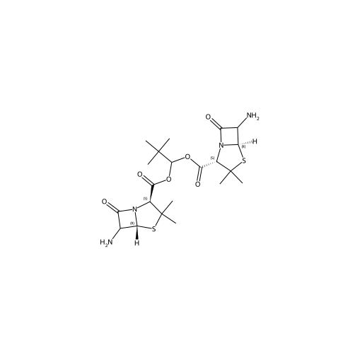 CC(C)(C)C(OC(=O)[C@@H]1N2C(=O)C(N)[C@H]2SC1(C)C)OC(=O)[C@@H]1N2C(=O)C(N)[C@H]2SC1(C)C